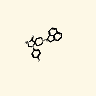 O=C1NCN(c2ccc(F)cc2)C12CCN([C@@H]1Cc3cccc4cccc1c34)CC2